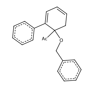 CC(=O)C1(OCc2ccccc2)CC=CC=C1c1ccccc1